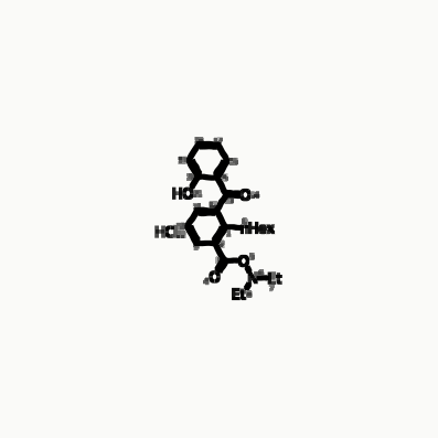 CCCCCCc1c(C(=O)ON(CC)CC)cccc1C(=O)c1ccccc1O.Cl